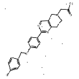 O=C(O)CN1CCc2nc(-c3ccc(OCc4ccc(Cl)cc4)cc3)ncc2C1